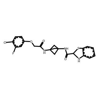 O=C(COc1ccc(Cl)c(F)c1)NC12CC(NC(=O)C3Nc4ccccc4S3)(C1)C2